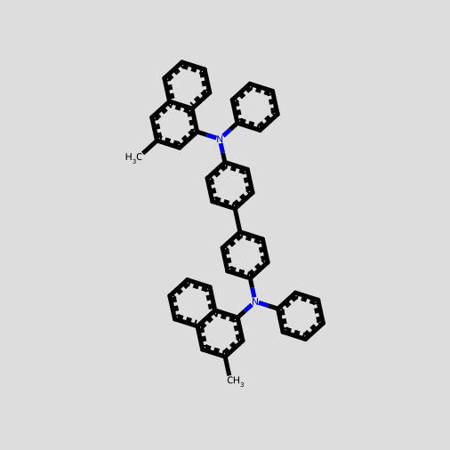 Cc1cc(N(c2ccccc2)c2ccc(-c3ccc(N(c4ccccc4)c4cc(C)cc5ccccc45)cc3)cc2)c2ccccc2c1